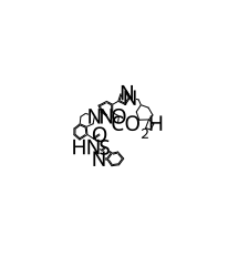 O=C(O)Oc1nc(N2CCc3cccc(C(=O)Nc4nc5ccccc5s4)c3C2)ccc1-c1cnn(CC2CCC3(CCC3)CC2)c1